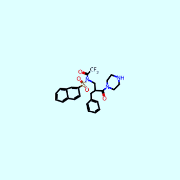 O=C(C(Cc1ccccc1)CN(C(=O)C(F)(F)F)S(=O)(=O)c1ccc2ccccc2c1)N1CCNCC1